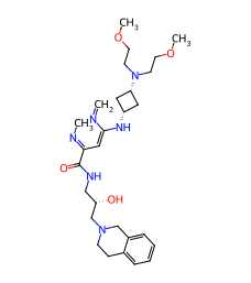 C=N/C(=C\C(=N/C)C(=O)NC[C@H](O)CN1CCc2ccccc2C1)N[C@H]1C[C@@H](N(CCOC)CCOC)C1